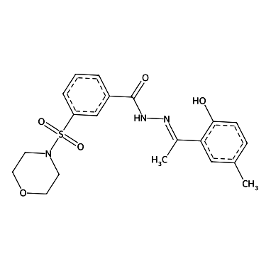 C/C(=N\NC(=O)c1cccc(S(=O)(=O)N2CCOCC2)c1)c1cc(C)ccc1O